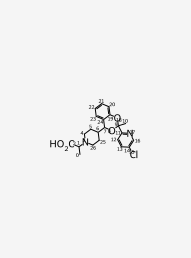 CC(C(=O)O)N1CCC(C2OC(C)(c3ccc(Cl)cn3)Oc3ccccc32)CC1